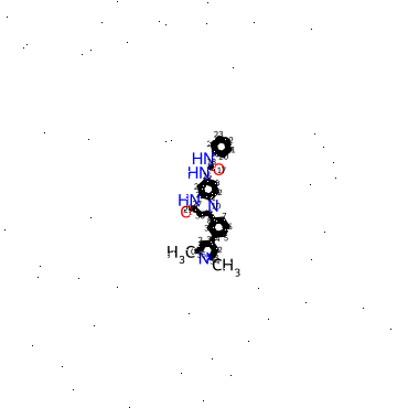 Cc1cc(-c2cccc(C3=Nc4ccc(NC(=O)Nc5ccccc5)cc4NC(=O)C3)c2)cc(C)n1